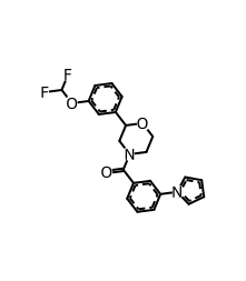 O=C(c1cccc(-n2cccc2)c1)N1CCOC(c2cccc(OC(F)F)c2)C1